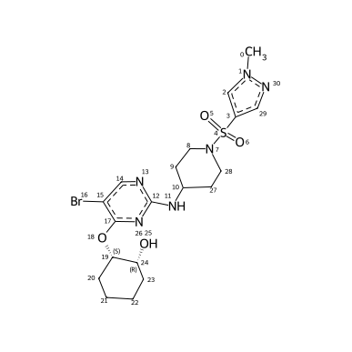 Cn1cc(S(=O)(=O)N2CCC(Nc3ncc(Br)c(O[C@H]4CCCC[C@H]4O)n3)CC2)cn1